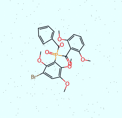 COc1cc(Br)c(OC)c(P(=O)(C(=O)c2ccccc2)C(=O)c2c(OC)cccc2OC)c1OC